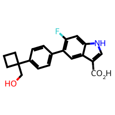 O=C(O)c1c[nH]c2cc(F)c(-c3ccc(C4(CO)CCC4)cc3)cc12